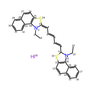 CCN1\C(=C/C=C/C=C/C2Sc3ccc4ccccc4c3N2CC)Sc2ccc3ccccc3c21.I